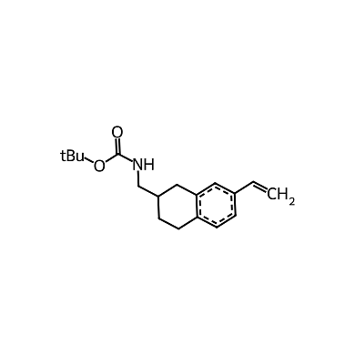 C=Cc1ccc2c(c1)CC(CNC(=O)OC(C)(C)C)CC2